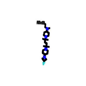 COCCN(C)C1CCN(C(C)(C)CCC(C)(C)N2CCC(N3CC(F)C3)CC2)CC1